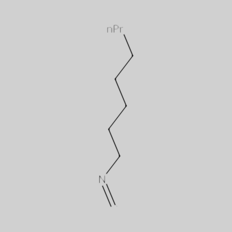 [CH]=NCCCCCCCC